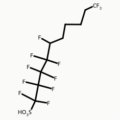 O=S(=O)(O)C(F)(F)C(F)(F)C(F)(F)C(F)(F)C(F)CCCCC(F)(F)F